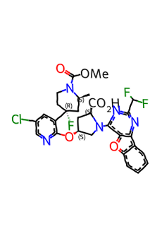 COC(=O)N1CC[C@](F)(c2cc(Cl)cnc2O[C@H]2C[C@@H](C(=O)O)N(c3nc(C(F)F)nc4c3oc3ccccc34)C2)C[C@@H]1C